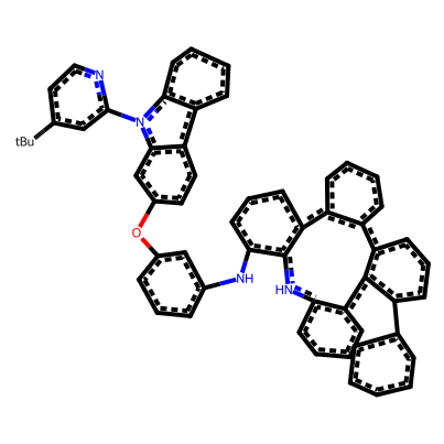 CC(C)(C)c1ccnc(-n2c3ccccc3c3ccc(Oc4cccc(Nc5cccc6c5[nH]c5ccccc5c5c(-c7ccccc7)cccc5c5ccccc65)c4)cc32)c1